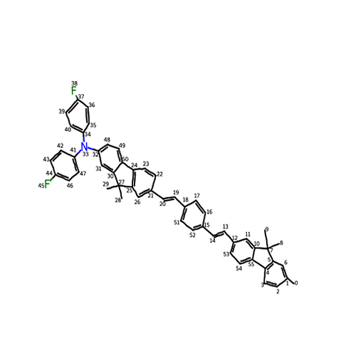 Cc1ccc2c(c1)C(C)(C)c1cc(/C=C/c3ccc(/C=C/c4ccc5c(c4)C(C)(C)c4cc(N(c6ccc(F)cc6)c6ccc(F)cc6)ccc4-5)cc3)ccc1-2